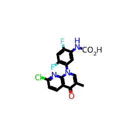 Cc1cn(-c2cc(NC(=O)O)c(F)cc2F)c2nc(Cl)ccc2c1=O